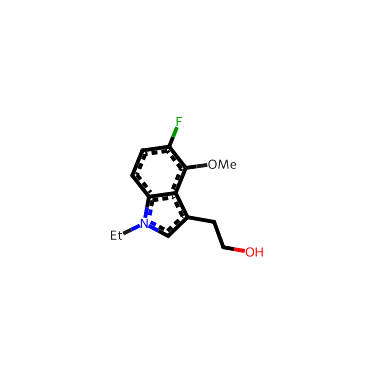 CCn1cc(CCO)c2c(OC)c(F)ccc21